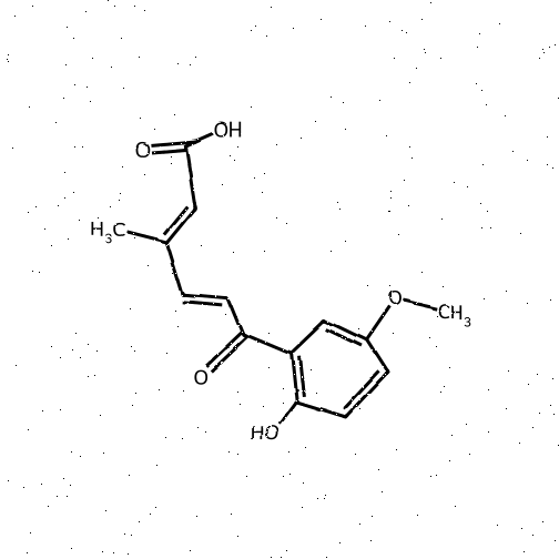 COc1ccc(O)c(C(=O)C=CC(C)=CC(=O)O)c1